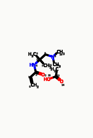 C=CC(=O)NC(C)(C)CN(C)C.CC(=O)O